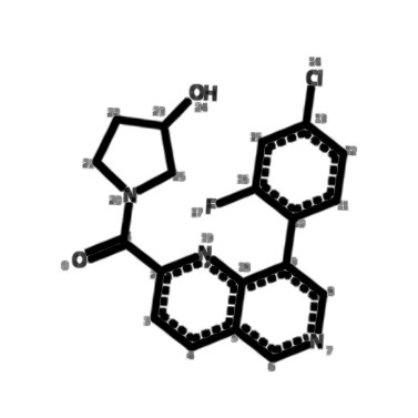 O=C(c1ccc2cncc(-c3ccc(Cl)cc3F)c2n1)N1CCC(O)C1